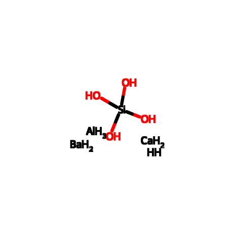 O[Si](O)(O)O.[AlH3].[BaH2].[CaH2].[HH]